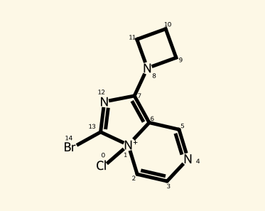 Cl[N+]12C=CN=CC1=C(N1CCC1)N=C2Br